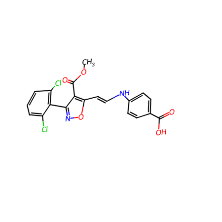 COC(=O)c1c(-c2c(Cl)cccc2Cl)noc1/C=C/Nc1ccc(C(=O)O)cc1